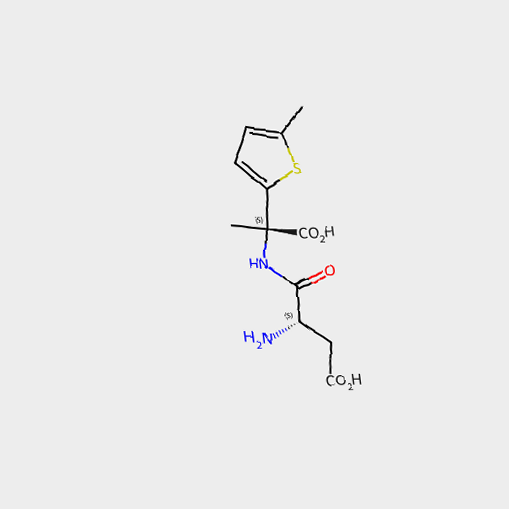 Cc1ccc([C@@](C)(NC(=O)[C@@H](N)CC(=O)O)C(=O)O)s1